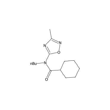 CCCCN(C(=O)C1CCCCC1)c1nc(C)no1